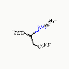 NC(CC(=O)[O-])C(=O)[O-].[Rb+].[Rb+]